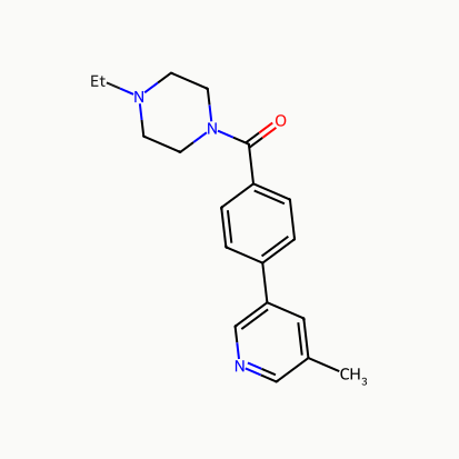 CCN1CCN(C(=O)c2ccc(-c3cncc(C)c3)cc2)CC1